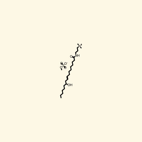 CCCCCCC(O)CC=CCCCCCCCC(=O)NCCC[N+](C)(C)C.COS(=O)(=O)[O-]